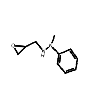 CN(NCC1CO1)c1ccccc1